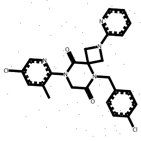 Cc1cc(Cl)cnc1N1CC(=O)N(Cc2ccc(Cl)cc2)C2(CN(c3ccccn3)C2)C1=O